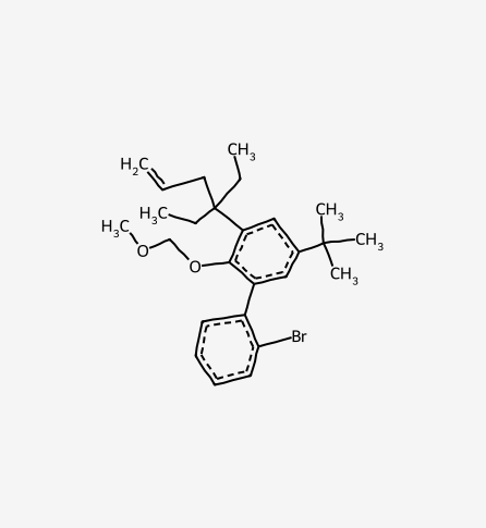 C=CCC(CC)(CC)c1cc(C(C)(C)C)cc(-c2ccccc2Br)c1OCOC